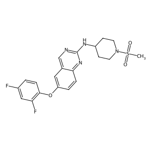 CS(=O)(=O)N1CCC(Nc2ncc3cc(Oc4ccc(F)cc4F)ccc3n2)CC1